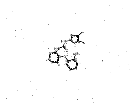 Cc1nc(NC(=O)Nc2cccnc2Oc2ccccc2C(C)(C)C)sc1C